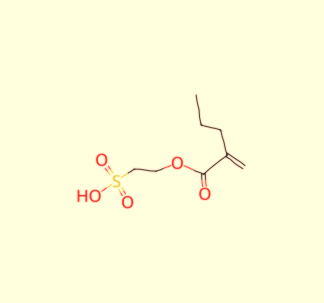 C=C(CCC)C(=O)OCCS(=O)(=O)O